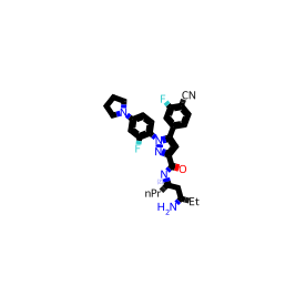 CCC/C(CC(N)CC)=N/C(=O)c1cc(-c2ccc(C#N)c(F)c2)n(-c2ccc(N3CCCC3)cc2F)n1